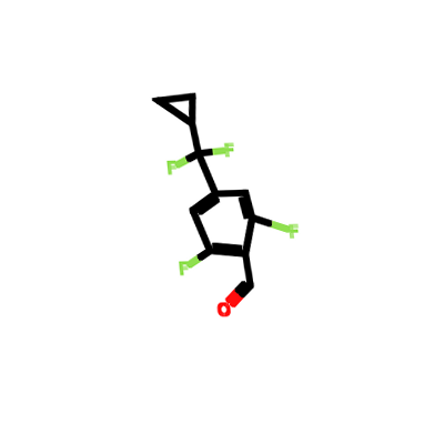 O=Cc1c(F)cc(C(F)(F)C2CC2)cc1F